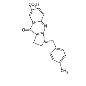 Cc1ccc(C=C2CCc3c2nc2ccc(C(=O)O)cn2c3=O)cc1